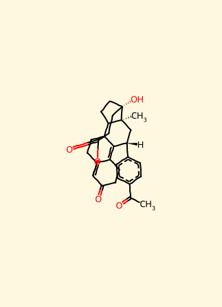 CC(=O)c1ccc([C@H]2C[C@@]3(C)C4CC[C@]3(O)CCC(=O)OC3=C5CCC4C2=C5CCC3=O)cc1